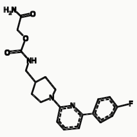 NC(=O)COC(=O)NCC1CCN(c2cccc(-c3ccc(F)cc3)n2)CC1